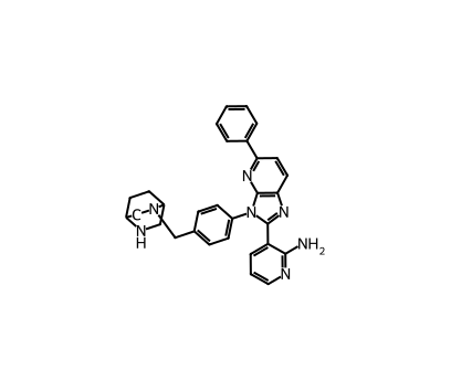 Nc1ncccc1-c1nc2ccc(-c3ccccc3)nc2n1-c1ccc(CN2CC3CCC2CN3)cc1